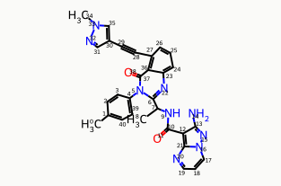 Cc1ccc(-n2c(C(C)NC(=O)c3c(N)nn4cccnc34)nc3cccc(C#Cc4cnn(C)c4)c3c2=O)cc1